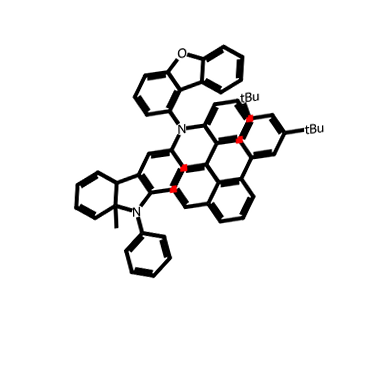 CC(C)(C)c1cc(-c2cccc3cccc(-c4ccccc4N(c4ccc5c(c4)C4C=CC=CC4(C)N5c4ccccc4)c4cccc5oc6ccccc6c45)c23)cc(C(C)(C)C)c1